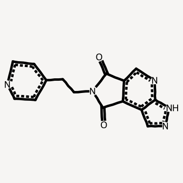 O=C1c2cnc3[nH]ncc3c2C(=O)N1CCc1ccncc1